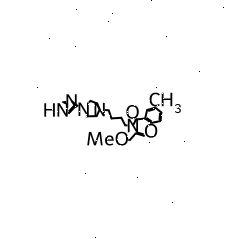 COCC1=COc2ccc(C)cc2C(=O)N1CCCCN1CCN(c2c[nH]cn2)CC1